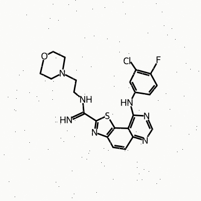 N=C(NCCN1CCOCC1)c1nc2ccc3ncnc(Nc4ccc(F)c(Cl)c4)c3c2s1